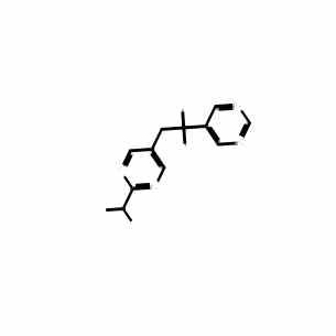 CC(C)c1ncc(CC(C)(C)c2cncnc2)cn1